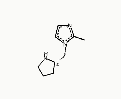 Cc1nccn1C[C@@H]1CCCN1